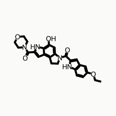 CCOc1ccc2[nH]c(C(=O)N3CCc4c3cc(O)c3[nH]c(C(=O)N5CCOCC5)cc43)cc2c1